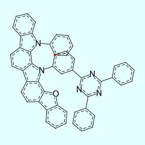 c1ccc(-c2nc(-c3ccccc3)nc(-c3cccc(-n4c5c(ccc6c7ccccc7oc65)c5ccc6c7ccccc7n(-c7ccccc7)c6c54)c3)n2)cc1